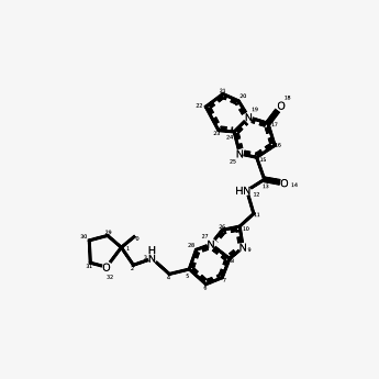 CC1(CNCc2ccc3nc(CNC(=O)c4cc(=O)n5ccccc5n4)cn3c2)CCCO1